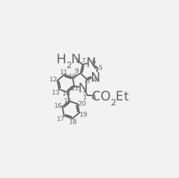 CCOC(=O)Cn1c2ncnc(N)c2c2cccc(-c3ccccc3)c21